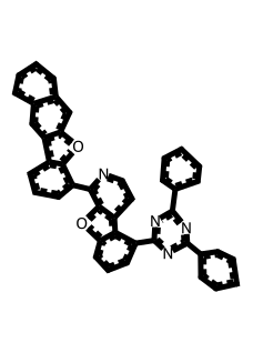 c1ccc(-c2nc(-c3ccccc3)nc(-c3cccc4oc5c(-c6cccc7c6oc6cc8ccccc8cc67)nccc5c34)n2)cc1